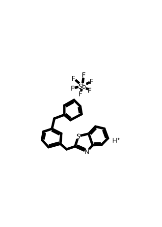 [F][Sb-]([F])([F])([F])([F])[F].[H+].c1ccc(Cc2cccc(Cc3nc4ccccc4s3)c2)cc1